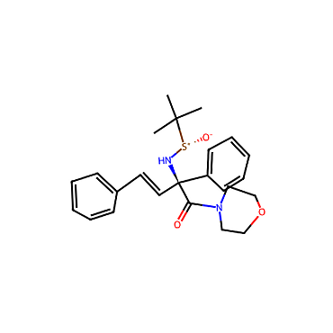 CC(C)(C)[S@+]([O-])N[C@](/C=C/c1ccccc1)(C(=O)N1CCOCC1)c1ccccc1